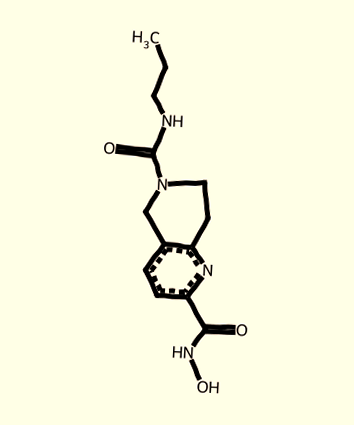 CCCNC(=O)N1CCc2nc(C(=O)NO)ccc2C1